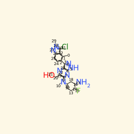 Cc1c(-c2n[nH]c3nc(N(C)[C@@H]4CC[C@@H](F)[C@@H](N)C4)c(CO)nc23)ccc2nn(C)c(Cl)c12